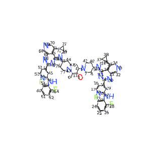 CC(C(=O)C(C)N1CCC(N(C)c2nc(-c3ccnc(Nc4c(F)cccc4F)c3)nc3cncc(C4CC4)c23)CC1)N1CCC(N(C)c2nc(-c3ccnc(Nc4c(F)cccc4F)c3)nc3cncc(C4CC4)c23)CC1